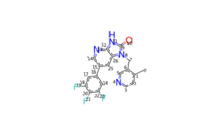 Cc1ccncc1Cn1c(=O)[nH]c2ncc(-c3cc(F)c(F)c(F)c3)cc21